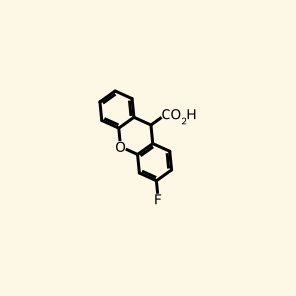 O=C(O)C1c2ccccc2Oc2cc(F)ccc21